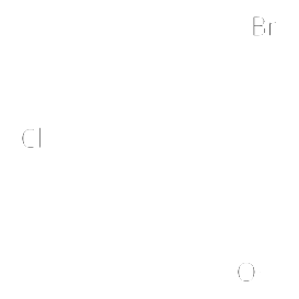 [O]c1cc(Cl)cc(Br)c1